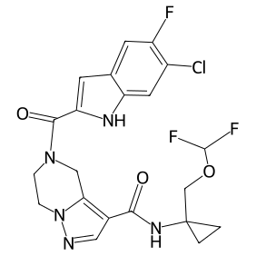 O=C(NC1(COC(F)F)CC1)c1cnn2c1CN(C(=O)c1cc3cc(F)c(Cl)cc3[nH]1)CC2